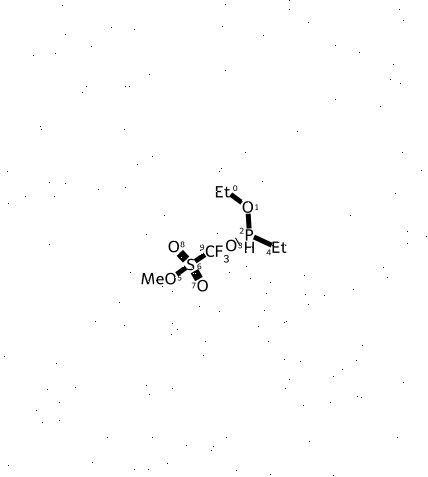 CCO[PH](=O)CC.COS(=O)(=O)C(F)(F)F